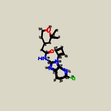 CC1(C)CC(CC(=O)Nc2nc3ccc(Cl)nc3n2C2=CC=C2)CCO1